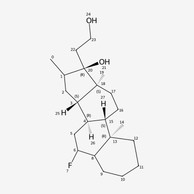 CC1C[C@H]2[C@@H]3CC(F)C4CCCC[C@]4(C)[C@H]3CC[C@]2(C)[C@@]1(O)CCO